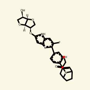 O=C(CO)N1C2C=C(c3ccc(-c4nc5cc(O[C@@H]6CO[C@H]7[C@@H]6OC[C@H]7O)[nH]c5cc4F)cc3)CC1CC2